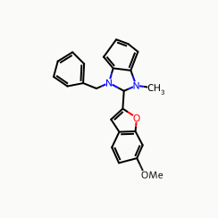 COc1ccc2cc(C3N(C)c4ccccc4N3Cc3ccccc3)oc2c1